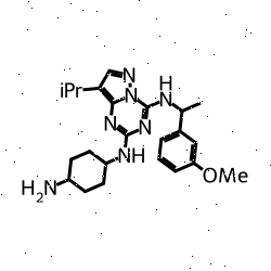 COc1cccc(C(C)Nc2nc(NC3CCC(N)CC3)nc3c(C(C)C)cnn23)c1